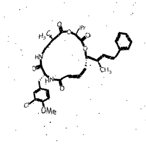 COc1ccc(C[C@H]2NC(=O)/C=C/C[C@@H]([C@H](C)/C=C/c3ccccc3)OC(=O)[C@H](C(C)C)OC(=O)[C@H](C)CNC2=O)cc1Cl